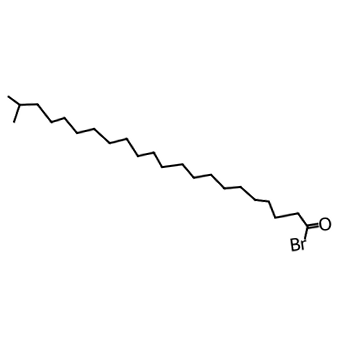 CC(C)CCCCCCCCCCCCCCCCCCCC(=O)Br